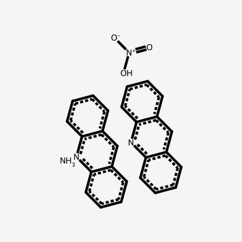 N.O=[N+]([O-])O.c1ccc2nc3ccccc3cc2c1.c1ccc2nc3ccccc3cc2c1